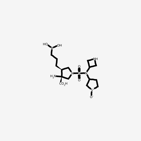 N[C@@]1(C(=O)O)CN(S(=O)(=O)N(C2CNC2)C2CC[S+]([O-])C2)C[C@@H]1CCCB(O)O